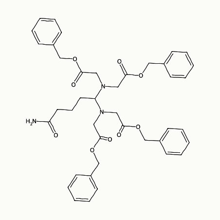 NC(=O)CCCC(N(CC(=O)OCc1ccccc1)CC(=O)OCc1ccccc1)N(CC(=O)OCc1ccccc1)CC(=O)OCc1ccccc1